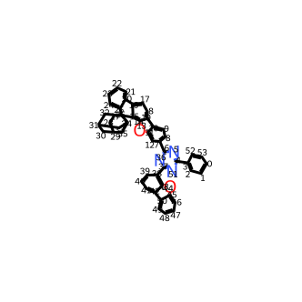 c1ccc(-c2nc(-c3ccc4c(c3)oc3c5c(ccc34)-c3ccccc3C53C4CC5CC(C4)CC3C5)nc(-c3cccc4c3oc3ccccc34)n2)cc1